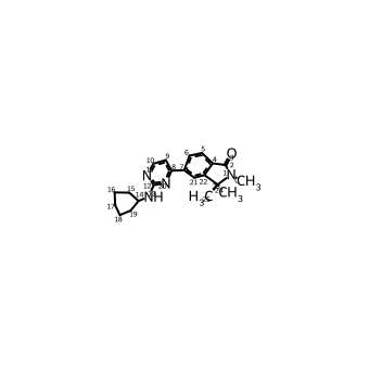 CN1C(=O)c2ccc(-c3ccnc(NC4CCCCC4)n3)cc2C1(C)C